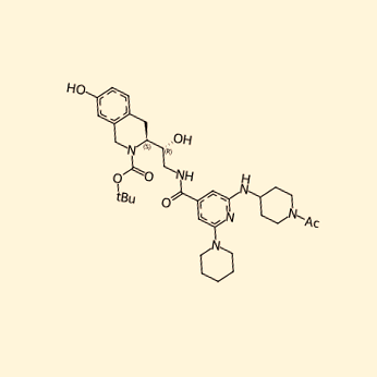 CC(=O)N1CCC(Nc2cc(C(=O)NC[C@@H](O)[C@@H]3Cc4ccc(O)cc4CN3C(=O)OC(C)(C)C)cc(N3CCCCC3)n2)CC1